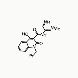 CN/C=C(\C=N)NC(=O)c1c(O)c2ccccc2n(CC(C)C)c1=O